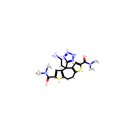 CN(C)C(=O)c1cc2c(s1)CCc1sc(C(=O)N(C)C)cc1C2(CCN)c1nn[nH]n1